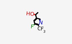 CC(O)c1cnc(C(F)(F)F)c(F)c1